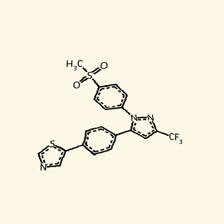 CS(=O)(=O)c1ccc(-n2nc(C(F)(F)F)cc2-c2ccc(-c3cncs3)cc2)cc1